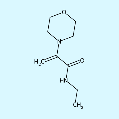 C=C(C(=O)NCC)N1CCOCC1